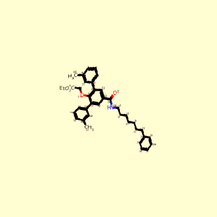 CCOC(=O)COc1c(-c2cccc(C)c2)cc(C(=O)NCCCCCCCc2ccccc2)cc1-c1cccc(C)c1